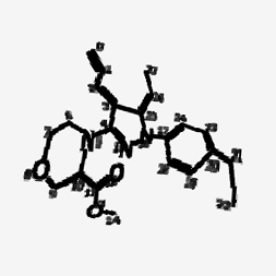 C=C/C=c1/c(N2CCOCC2C(=O)OC)nn(-c2ccc(CI)cc2)/c1=C/C